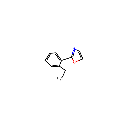 CCc1ccccc1-c1ncco1